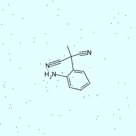 CC(C#N)(C#N)c1ccccc1N